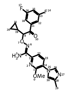 COc1nc(/C(N)=N/OC(C(=O)c2cc(F)cc(F)c2)C2CC2)ccc1-n1cnc(C)c1